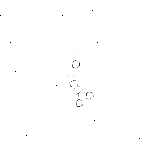 Fc1ccc(CNc2ccc3nc(-c4ccccc4)c(-c4ccccc4)nc3n2)cc1